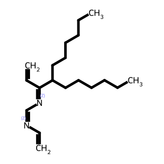 C=C/N=C\N=C(/C=C)C(CCCCCC)CCCCCC